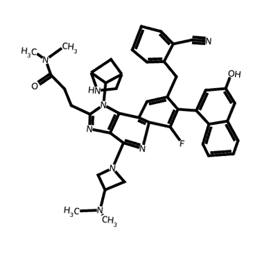 CN(C)C(=O)CCc1nc2c(N3CC(N(C)C)C3)nc3c(F)c(-c4cc(O)cc5ccccc45)c(Cc4ccccc4C#N)cc3c2n1C1C2CNC1C2